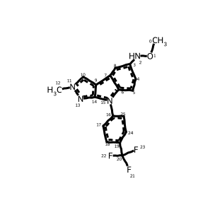 CONc1ccc2c(c1)c1cn(C)nc1n2-c1ccc(C(F)(F)F)cc1